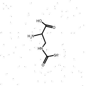 NC(CNC(=O)S)C(=O)O